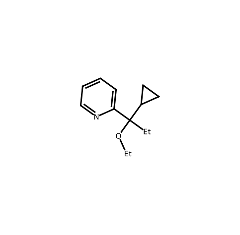 CCOC(CC)(c1ccccn1)C1CC1